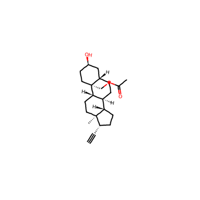 C#C[C@H]1CC[C@H]2[C@@H]3CC[C@H]4C[C@H](O)CC[C@]4(COC(C)=O)[C@H]3CC[C@]12C